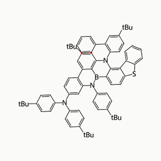 CC(C)(C)c1ccc(N2B3c4ccc5sc6ccccc6c5c4N(c4ccc(C(C)(C)C)cc4-c4ccccc4)c4cc(C(C)(C)C)cc(c43)-c3ccc(N(c4ccc(C(C)(C)C)cc4)c4ccc(C(C)(C)C)cc4)cc32)cc1